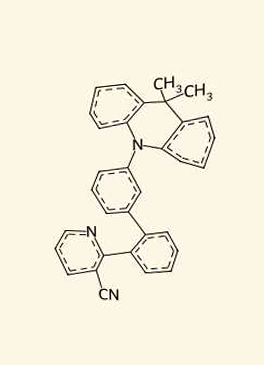 CC1(C)c2ccccc2N(c2cccc(-c3ccccc3-c3ncccc3C#N)c2)c2ccccc21